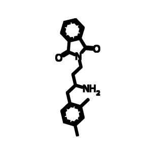 Cc1ccc(CC(N)CCN2C(=O)c3ccccc3C2=O)c(C)c1